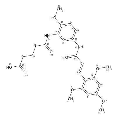 COc1cc(OC)c(C=CC(=O)Nc2ccc(OC)c(NC(=O)CCCC(=O)O)c2)c(OC)c1